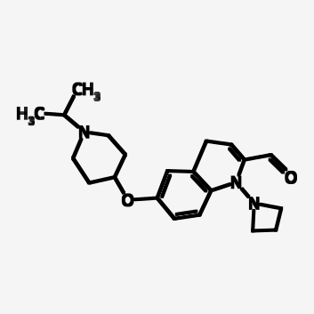 CC(C)N1CCC(Oc2ccc3c(c2)CC=C(C=O)N3N2CCC2)CC1